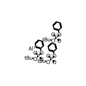 CC(C)(C)OP(=O)([O-])Oc1ccccc1.CC(C)(C)OP(=O)([O-])Oc1ccccc1.CC(C)(C)OP(=O)([O-])Oc1ccccc1.[Al+3]